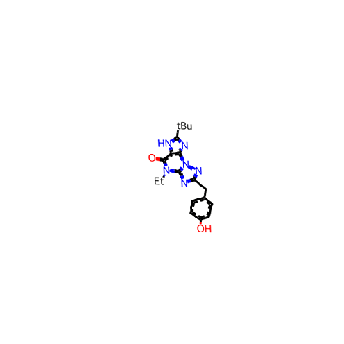 CCn1c(=O)c2[nH]c(C(C)(C)C)nc2n2nc(Cc3ccc(O)cc3)nc12